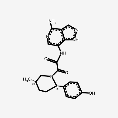 C[C@H]1CC[C@H](c2ccc(O)cc2)N(C(=O)C(=O)Nc2cnc(N)c3cn[nH]c23)C1